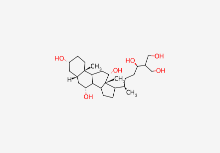 C[C@H](CC[C@@H](O)C(CO)CO)C1CCC2C3C(C[C@H](O)[C@@]21C)[C@@]1(C)CC[C@@H](O)C[C@H]1C[C@H]3O